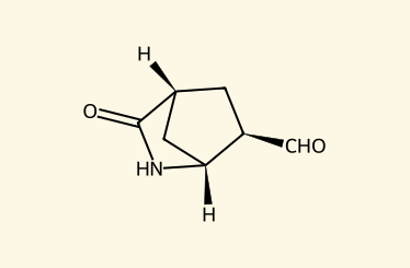 O=C[C@@H]1C[C@@H]2C[C@H]1NC2=O